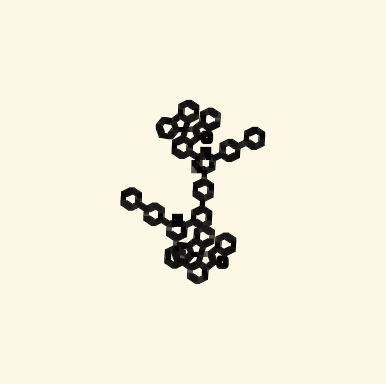 c1ccc(-c2ccc(-c3cc(-c4cccc(-c5cccc6c5C5(c7ccccc7-c7ccccc75)c5c-6oc6ccccc56)c4)cc(-c4cccc(-c5ccc(-c6cc(-c7ccc(-c8ccccc8)cc7)nc(-c7cccc8c7-c7oc9ccccc9c7C87c8ccccc8-c8ccccc87)n6)cc5)c4)n3)cc2)cc1